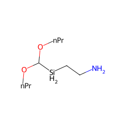 CCCOC(OCCC)[SiH2]CCN